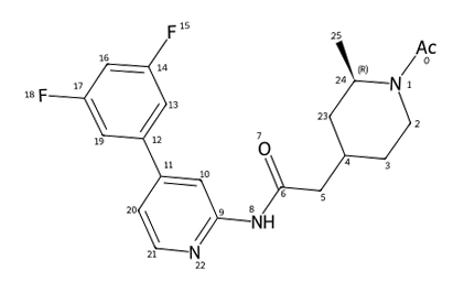 CC(=O)N1CCC(CC(=O)Nc2cc(-c3cc(F)cc(F)c3)ccn2)C[C@H]1C